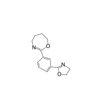 c1cc(C2=NCCCCO2)cc(C2=NCCO2)c1